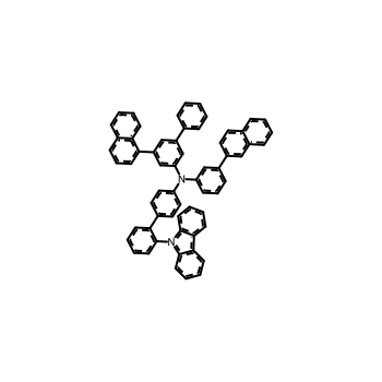 c1ccc(-c2cc(-c3cccc4ccccc34)cc(N(c3ccc(-c4ccccc4-n4c5ccccc5c5ccccc54)cc3)c3cccc(-c4ccc5ccccc5c4)c3)c2)cc1